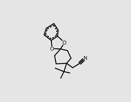 CC(C)(C)C1(CC#N)CCC2(CC1)Oc1ccccc1O2